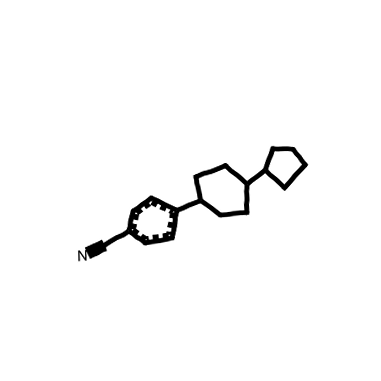 N#Cc1ccc(C2CCC(C3CCCC3)CC2)cc1